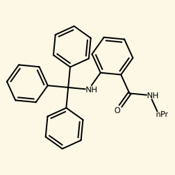 CCCNC(=O)c1ccccc1NC(c1ccccc1)(c1ccccc1)c1ccccc1